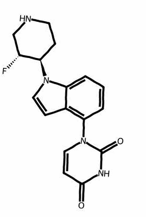 O=c1ccn(-c2cccc3c2ccn3[C@@H]2CCNC[C@H]2F)c(=O)[nH]1